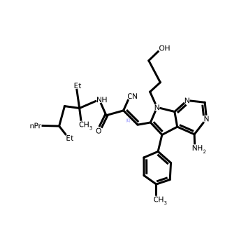 CCCC(CC)CC(C)(CC)NC(=O)/C(C#N)=C/c1c(-c2ccc(C)cc2)c2c(N)ncnc2n1CCCO